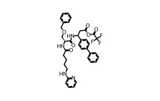 O=C(CCCCNc1ccccn1)N[C@@H](COCc1ccccc1)C(=O)NC(CC(=O)OC(=O)C(F)(F)F)c1ccc(-c2ccccc2)cc1